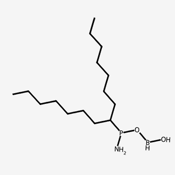 CCCCCCCC(CCCCCCC)P(N)OBO